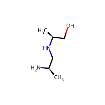 C[C@@H](N)CN[C@@H](C)CO